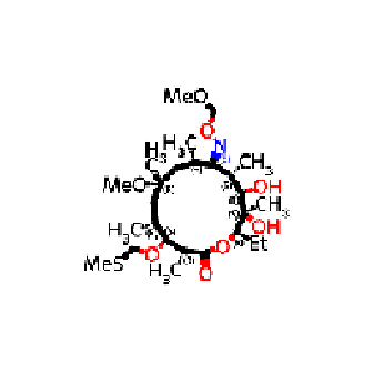 CC[C@H]1OC(=O)[C@H](C)[C@@H](OCSC)[C@H](C)C[C@](C)(OC)C[C@@H](C)/C(=N\OCOC)[C@H](C)[C@@H](O)[C@]1(C)O